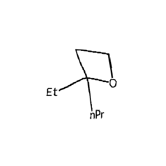 [CH2]CCC1(CC)CCO1